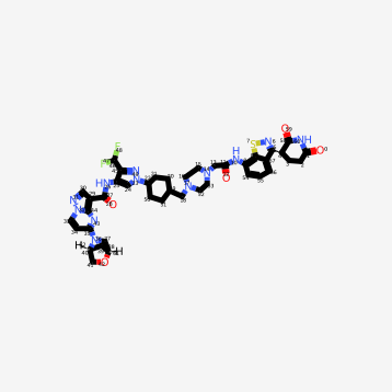 O=C1CC[C@H](c2nsc3c(NC(=O)CN4CCN(CC5CCC(n6cc(NC(=O)c7cnn8ccc(N9C[C@@H]%10C[C@H]9CO%10)nc78)c(C(F)F)n6)CC5)CC4)cccc23)C(=O)N1